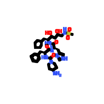 CS(=O)(=O)NC[C@@H](O)C[C@H](O)[C@H](CC1CCCCC1)NC(=O)[C@H](Cc1c[nH]cn1)NC(=O)[C@H](Cc1ccccc1)NC(=O)N1CCC(N)CC1